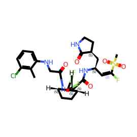 Cc1c(Cl)cccc1NCC(=O)N1[C@H]2CC[C@@H]([C@H]1C(=O)N[C@H](/C=C(/F)S(C)(=O)=O)C[C@@H]1CCNC1=O)C(F)(F)C2